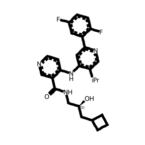 CC(C)c1cnc(-c2cc(F)ccc2F)cc1Nc1ccncc1C(=O)NC[C@@H](O)CC1CCC1